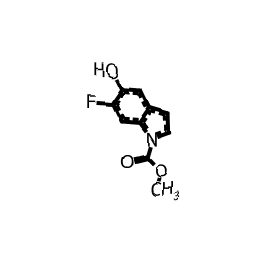 COC(=O)n1ccc2cc(O)c(F)cc21